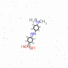 CN(C)c1ccc(/N=N/c2ccc(B(O)O)cc2)cc1